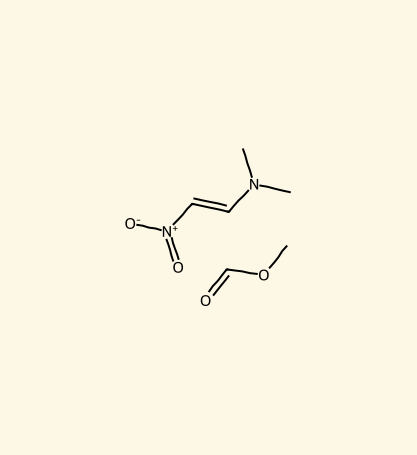 CN(C)C=C[N+](=O)[O-].COC=O